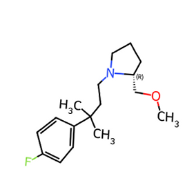 COC[C@H]1CCCN1CCC(C)(C)c1ccc(F)cc1